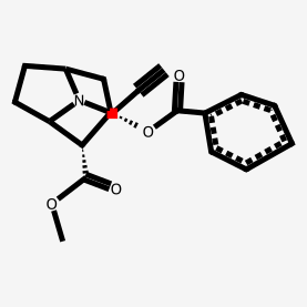 C#CCN1C2CCC1[C@@H](C(=O)OC)[C@@H](OC(=O)c1ccccc1)C2